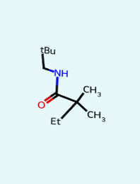 CCC(C)(C)C(=O)NCC(C)(C)C